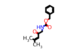 CC(C)=CC(=O)CNC(=O)OCc1ccccc1